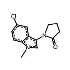 Cn1cc(N2CCCC2=O)c2cc(Cl)ccc21